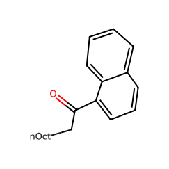 CCCCCCCCCC(=O)c1cccc2ccccc12